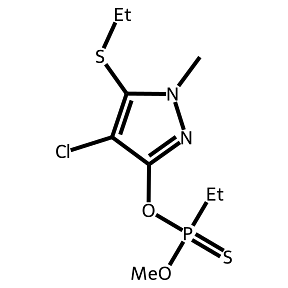 CCSc1c(Cl)c(OP(=S)(CC)OC)nn1C